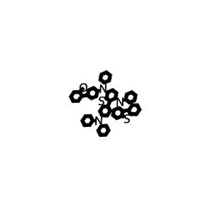 c1ccc(N(c2ccccc2)c2ccc3c(c2)sc2c(N(c4ccccc4)c4ccc5c(c4)oc4ccccc45)ccc(N(c4ccccc4)c4cccc5sc6ccccc6c45)c23)cc1